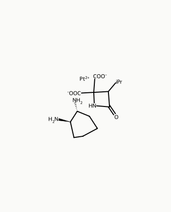 CC(C)C1C(=O)NC1(C(=O)[O-])C(=O)[O-].N[C@@H]1CCCC[C@H]1N.[Pt+2]